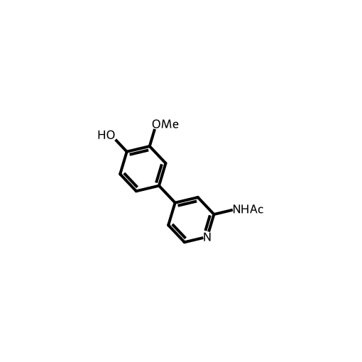 COc1cc(-c2ccnc(NC(C)=O)c2)ccc1O